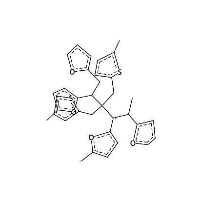 Cc1ccc([C](C(C)c2ccco2)C(Cc2cccs2)(Cc2ccc(C)s2)C(Cc2ccco2)c2ccc(C)o2)o1